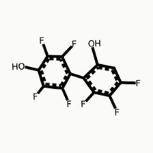 Oc1cc(F)c(F)c(F)c1-c1c(F)c(F)c(O)c(F)c1F